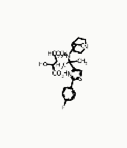 CC(C)(c1csc(-c2ccc(F)cc2)n1)N(C(=O)O)C1CN2CCC1CC2.O=C(O)CC(O)C(=O)O